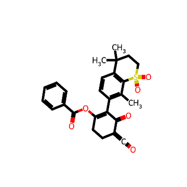 Cc1c(C2=C(OC(=O)c3ccccc3)CCC(=C=O)C2=O)ccc2c1S(=O)(=O)CCC2(C)C